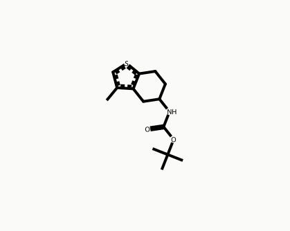 Cc1csc2c1CC(NC(=O)OC(C)(C)C)CC2